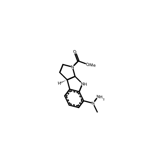 COC(=O)N1CC[C@@H]2c3cccc(N(C)N)c3NC21